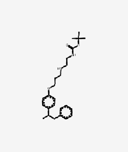 CC(Cc1ccccc1)c1ccc(OCCCNCCNC(=O)OC(C)(C)C)cc1